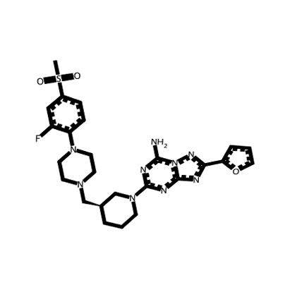 CS(=O)(=O)c1ccc(N2CCN(C[C@@H]3CCCN(c4nc(N)n5nc(-c6ccco6)nc5n4)C3)CC2)c(F)c1